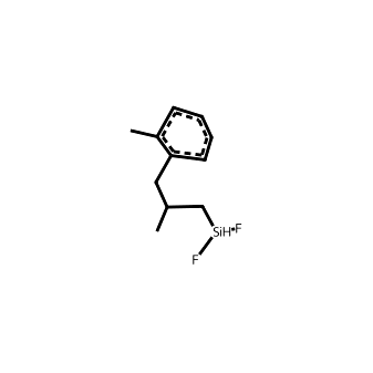 Cc1ccccc1CC(C)C[SiH](F)F